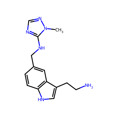 Cn1ncnc1NCc1ccc2[nH]cc(CCN)c2c1